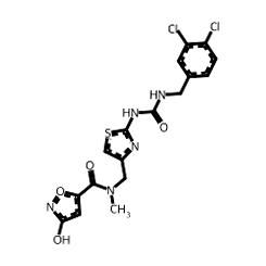 CN(Cc1csc(NC(=O)NCc2ccc(Cl)c(Cl)c2)n1)C(=O)c1cc(O)no1